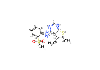 Cc1sc2ncnc(Nc3ccccc3S(C)(=O)=O)c2c1C